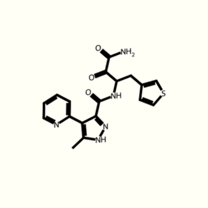 Cc1[nH]nc(C(=O)NC(Cc2ccsc2)C(=O)C(N)=O)c1-c1ccccn1